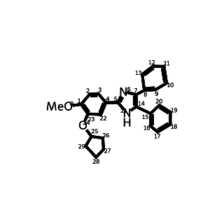 COc1ccc(-c2nc(-c3ccccc3)c(-c3ccccc3)[nH]2)cc1OC1CCCC1